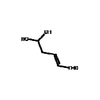 O=CC=CCC(O)O